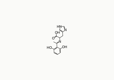 C/C(=N\C(Cc1c[nH]cn1)C(=O)O)c1c(O)cccc1O